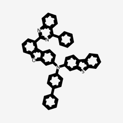 c1ccc(-c2ccc(N(c3ccc4c(c3)oc3cccc(-c5nc(-c6ccccc6)c6ccccc6n5)c34)c3ccc4c(c3)sc3ccccc34)cc2)cc1